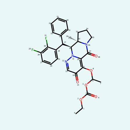 CCOC(=O)OC(C)Oc1c2n(ncc1=O)[C@@H](C(c1ccccc1)c1cccc(F)c1F)[C@H]1CCCN1C2=O